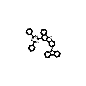 c1ccc(-c2nc(-c3ccccc3)nc(-c3cc4c5cc(-n6c7ccccc7c7ccccc76)ccc5oc4c4ccccc34)n2)cc1